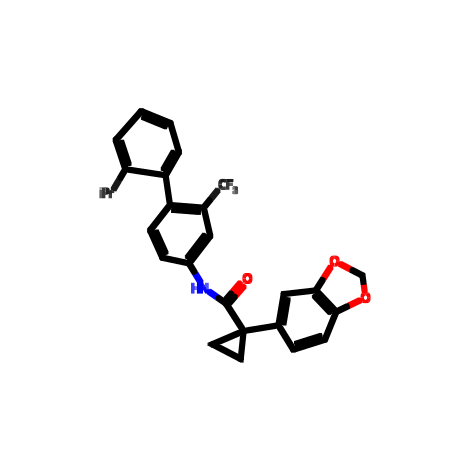 CC(C)c1ccccc1-c1ccc(NC(=O)C2(c3ccc4c(c3)OCO4)CC2)cc1C(F)(F)F